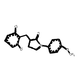 COc1ccc(N2CCC(Cc3c(Cl)cccc3Cl)C2=O)cc1